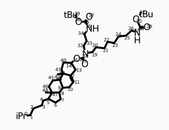 CC(C)CCCCC1CCC2C3CC=C4CC(OC(=O)N(CCCCCCCCNC(=O)OC(C)(C)C)CCCNC(=O)OC(C)(C)C)CCC4(C)C3CCC12C